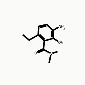 CCc1ccc(N)c(O)c1C(=O)N(C)C